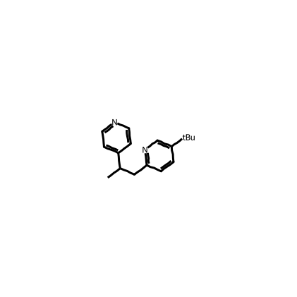 CC(Cc1ccc(C(C)(C)C)cn1)c1ccncc1